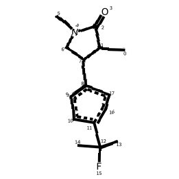 CC1C(=O)N(C)CC1c1ccc(C(C)(C)F)cc1